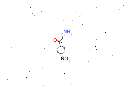 NCCC(=O)c1ccc([N+](=O)[O-])cc1